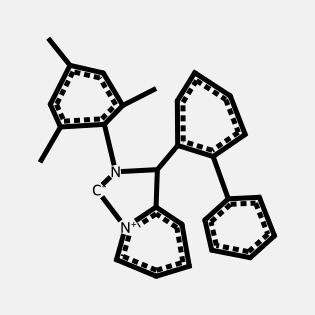 Cc1cc(C)c(N2[CH-][n+]3ccccc3C2c2ccccc2-c2ccccc2)c(C)c1